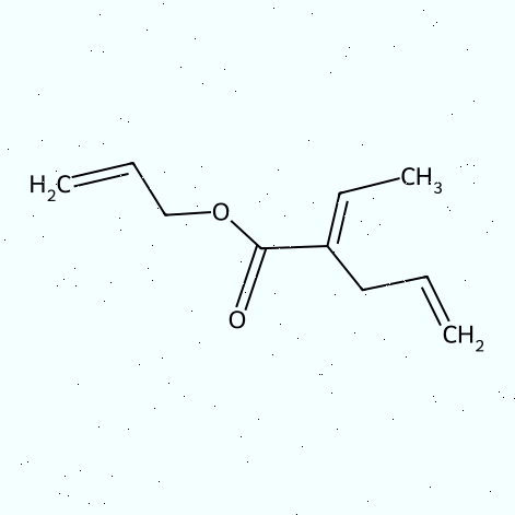 C=CCOC(=O)C(=CC)CC=C